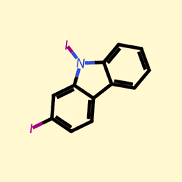 Ic1ccc2c3ccccc3n(I)c2c1